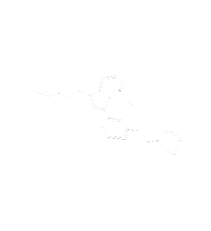 NCCCCn1cc(-c2cccc(OCc3ccccc3)c2)c2c(N)ncnc21